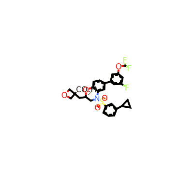 O=C(O)C1(CC2CN(S(=O)(=O)c3cccc(C4CC4)c3)c3cc(-c4cc(F)cc(OC(F)F)c4)ccc3O2)COC1